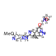 COc1ccc(CN2CC3CCC2CN3c2ccc(-c3cc(OCCN4CC5CC(C4)O5)cn4ncc(C#N)c34)cn2)cn1